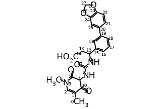 CC1=CN(C)C(=O)C(NC(=O)NC(CC(=O)O)c2cccc(-c3ccc4c(c3)OCO4)c2)C1=O